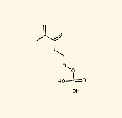 C=C(C)C(=O)CCOOP(=O)(O)O